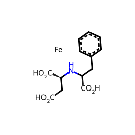 O=C(O)C[C@H](NC(Cc1ccccc1)C(=O)O)C(=O)O.[Fe]